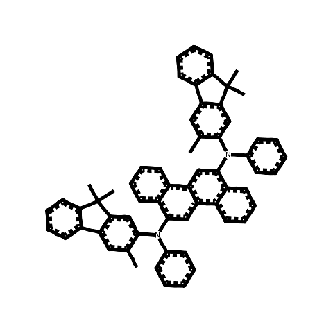 Cc1cc2c(cc1N(c1ccccc1)c1cc3c4ccccc4c(N(c4ccccc4)c4cc5c(cc4C)-c4ccccc4C5(C)C)cc3c3ccccc13)C(C)(C)c1ccccc1-2